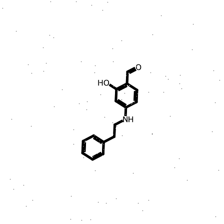 O=Cc1ccc(NCCc2ccccc2)cc1O